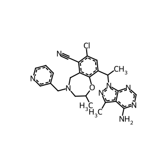 Cc1nn(C(C)c2cc(Cl)c(C#N)c3c2OC(C)CN(Cc2cccnc2)C3)c2ncnc(N)c12